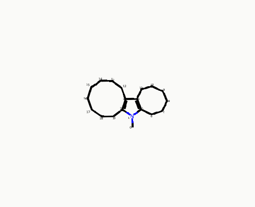 Cn1c2c(c3c1CCCCCC3)CCCCCCCC2